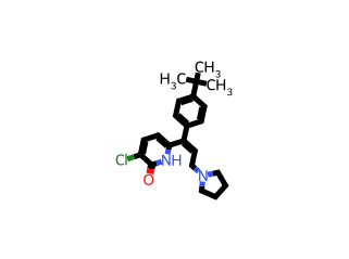 CC(C)(C)c1ccc(/C(=C/CN2CCCC2)c2ccc(Cl)c(=O)[nH]2)cc1